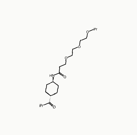 CC(C)OCCOCCOCCC(=O)N[C@H]1CC[C@H](C(=O)C(C)C)CC1